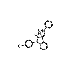 CN(C=C1C(=O)N(c2ccc(Cl)cc2)c2ccccc21)c1ccccc1